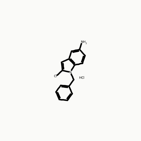 Cl.Nc1ccc2c(c1)cc(Cl)n2Cc1ccccc1